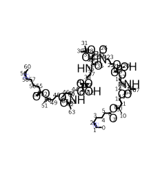 C/C=C\CCCC(=O)O[C@H](C)CCOC[C@H](COP(=O)(O)OCCNC(=O)[C@H]1OC(C)(C)O[C@H]1C(=O)NCCOP(=O)(O)OC[C@@H](COCC[C@@H](C)OC(=O)CCC/C=C\C)NC(C)=O)NC(C)=O